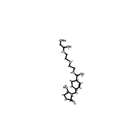 CSCC(O)OCCOCCOC(O)C1C=CC(CN2C(=O)CCC2O)CC1